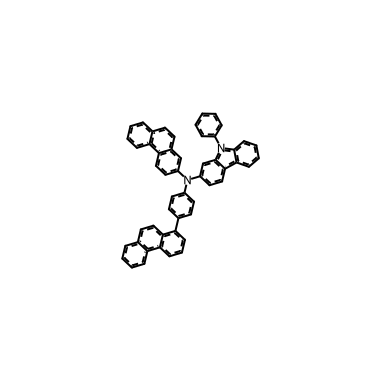 c1ccc(-n2c3ccccc3c3ccc(N(c4ccc(-c5cccc6c5ccc5ccccc56)cc4)c4ccc5c(ccc6ccccc65)c4)cc32)cc1